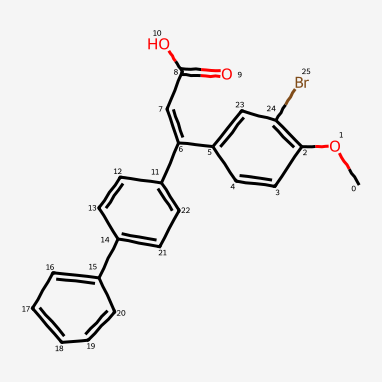 COc1ccc(/C(=C\C(=O)O)c2ccc(-c3ccccc3)cc2)cc1Br